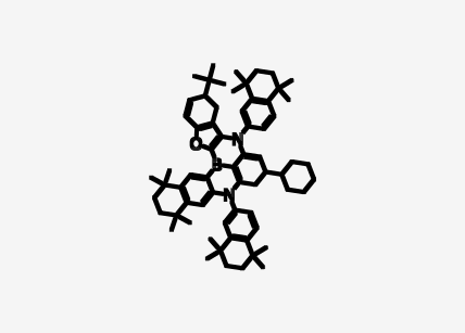 CC1(C)CCC(C)(C)c2cc(N3C4=C5B(c6cc7c(cc63)C(C)(C)CCC7(C)C)c3oc6c(c3N(c3ccc7c(c3)C(C)(C)CCC7(C)C)C5=CC(C3CCCCC3)C4)CC(C(C)(C)C)C=C6)ccc21